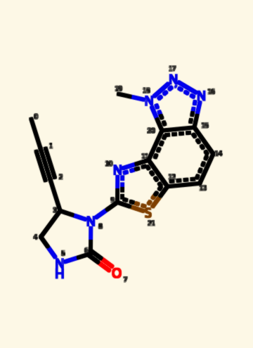 CC#CC1CNC(=O)N1c1nc2c(ccc3nnn(C)c32)s1